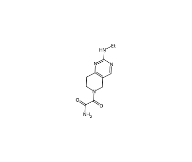 CCNc1ncc2c(n1)CCN(C(=O)C(N)=O)C2